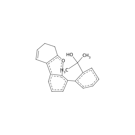 CC(C)(O)c1ccccc1-c1cccc2c3c(oc12)CCC=C3